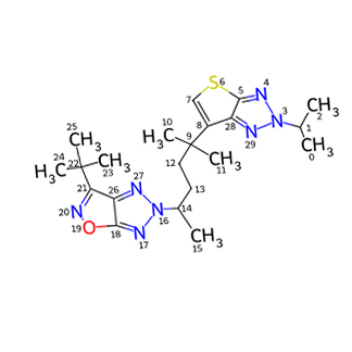 CC(C)n1nc2scc(C(C)(C)CCC(C)n3nc4onc(C(C)(C)C)c4n3)c2n1